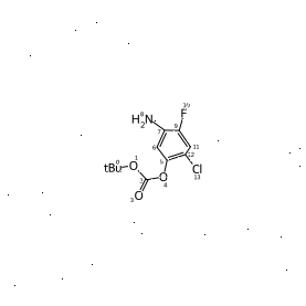 CC(C)(C)OC(=O)Oc1cc(N)c(F)cc1Cl